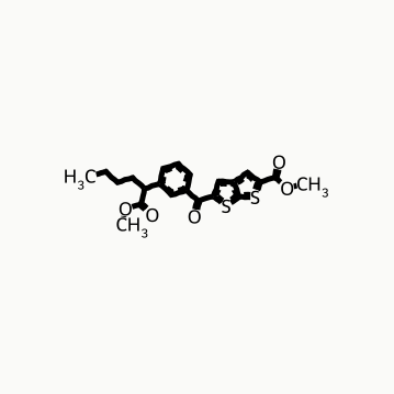 CCCCC(C(=O)OC)c1cccc(C(=O)c2cc3cc(C(=O)OC)sc3s2)c1